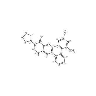 Cc1cc(-c2cc3c(=O)c(N4CCCC4)c[nH]c3nc2-c2ccccc2)cc(Cl)n1